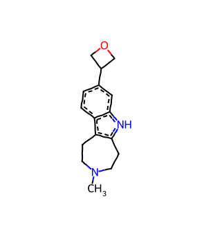 CN1CCc2[nH]c3cc(C4COC4)ccc3c2CC1